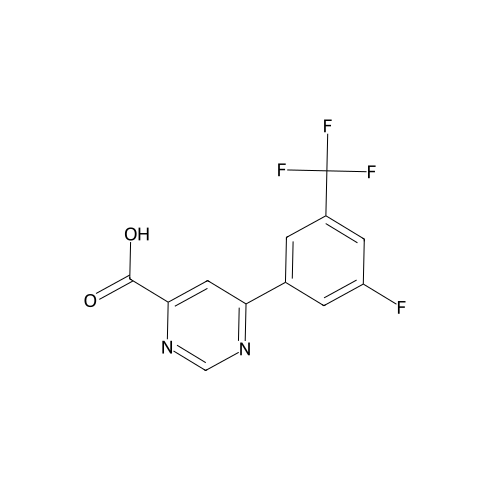 O=C(O)c1cc(-c2cc(F)cc(C(F)(F)F)c2)ncn1